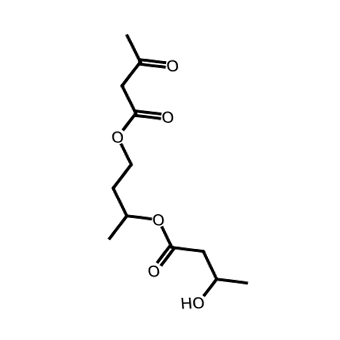 CC(=O)CC(=O)OCCC(C)OC(=O)CC(C)O